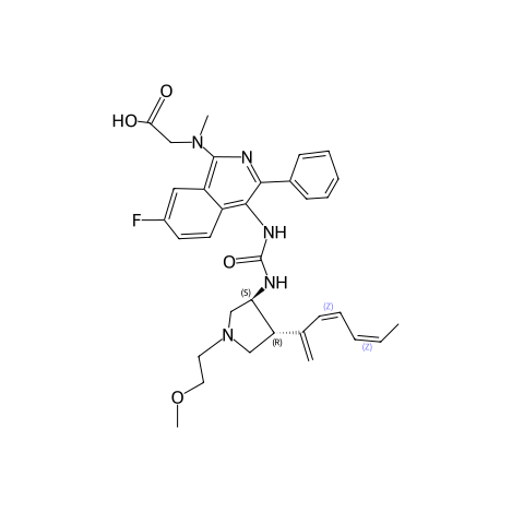 C=C(/C=C\C=C/C)[C@@H]1CN(CCOC)C[C@H]1NC(=O)Nc1c(-c2ccccc2)nc(N(C)CC(=O)O)c2cc(F)ccc12